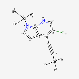 CC(C)[Si](C(C)C)(C(C)C)n1ccc2c(C#C[Si](C)(C)C)c(F)cnc21